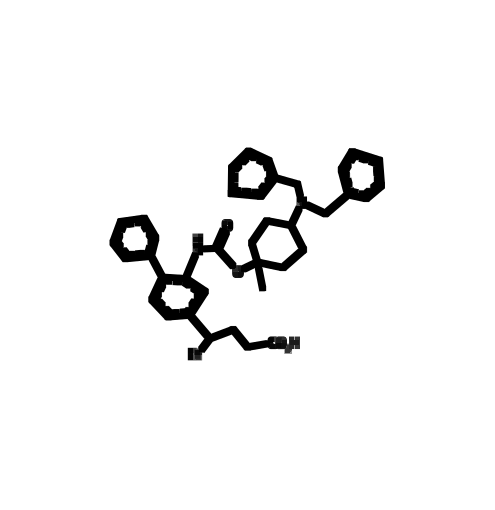 CCC(CCC(=O)O)c1ccc(-c2ccccc2)c(NC(=O)OC2(C)CCC(N(Cc3ccccc3)Cc3ccccc3)CC2)c1